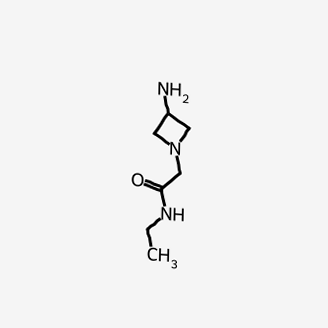 CCNC(=O)CN1CC(N)C1